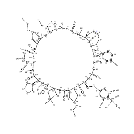 CCCOC[C@H]1C(=O)N[C@@H]([C@@H](C)CC)C(=O)N(C)CC(=O)N(C)[C@H]2C/C=C\CCN(C2=O)[C@@H](Cc2ccc(C)cc2)C(=O)N(C)CC(=O)N[C@@H](CCc2cc(F)c(C(F)(F)F)c(F)c2)C(=O)N2C[C@H](OCC)C[C@H]2C(=O)NC2(CC(C)(C)C2)C(=O)N(C)[C@@H](C2CCCC2)C(=O)N(C)[C@H](C(=O)N(C)C)CC(=O)N1C